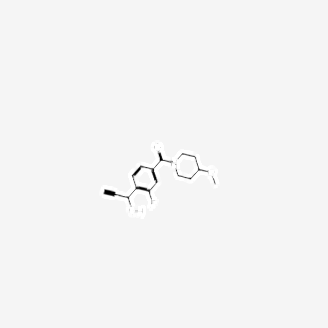 C#CC(O)c1ccc(C(=O)N2CCC(OC)CC2)cc1F